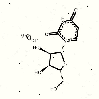 O=c1ccn([C@@H]2O[C@H](CO)[C@@H](O)[C@H]2O)c(=O)[nH]1.[Cl-].[Cl-].[Mn+2]